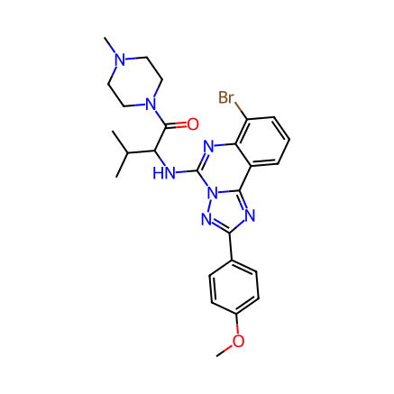 COc1ccc(-c2nc3c4cccc(Br)c4nc(NC(C(=O)N4CCN(C)CC4)C(C)C)n3n2)cc1